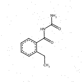 CCc1ccccc1C(=O)NC(N)=O